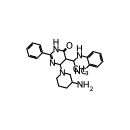 CC(Nc1ccccc1C#N)C1C(=O)NC(c2ccccc2)=NC1N1CCCC(N)C1